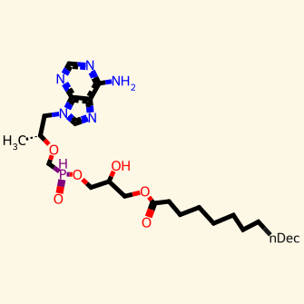 CCCCCCCCCCCCCCCCCC(=O)OCC(O)CO[PH](=O)CO[C@H](C)Cn1cnc2c(N)ncnc21